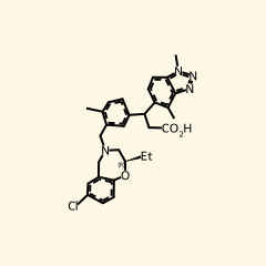 CC[C@@H]1CN(Cc2cc(C(CC(=O)O)c3ccc4c(nnn4C)c3C)ccc2C)Cc2cc(Cl)ccc2O1